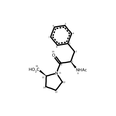 CC(=O)N[C@H](Cc1ccccc1)C(=O)N1CCC[C@H]1C(=O)O